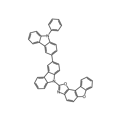 c1ccc(-n2c3ccccc3c3cc(-c4ccc5c(c4)c4ccccc4n5-c4nc5ccc6oc7ccccc7c6c5o4)ccc32)cc1